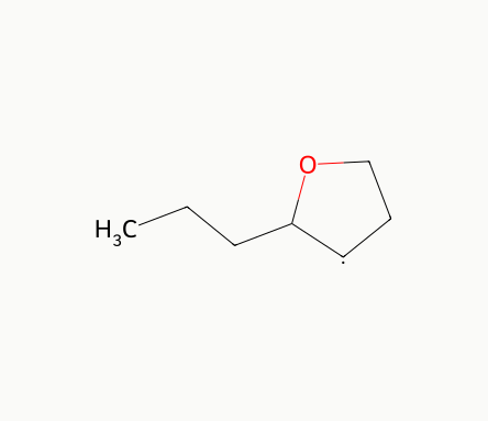 CCCC1[CH]CCO1